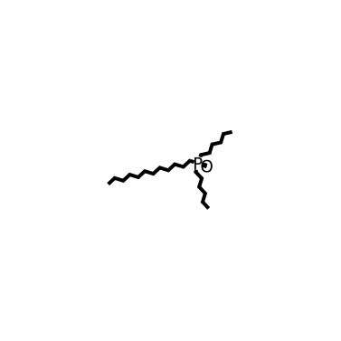 CCCCCCCCCCCCP(=O)(CCCCCC)CCCCCC